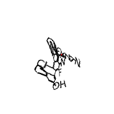 CN(C)C1CN(c2cc(N3CC4CCC(C3)N4C(=O)OC(C)(C)C)c3cc(Cl)c(-c4cc(O)cc5ccccc45)c(F)c3n2)C1